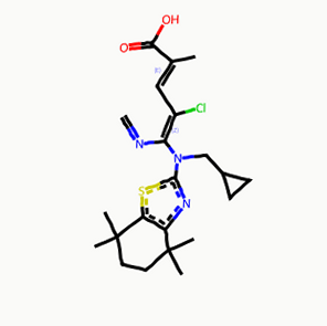 C=N/C(=C(Cl)\C=C(/C)C(=O)O)N(CC1CC1)c1nc2c(s1)C(C)(C)CCC2(C)C